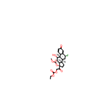 CCOC(=O)OCC(=O)[C@@]1(OC(=O)OC)CC[C@H]2[C@@H]3C[C@H](F)C4=CC(=O)C=C[C@]4(C)[C@H]3C(O)C[C@@]21C